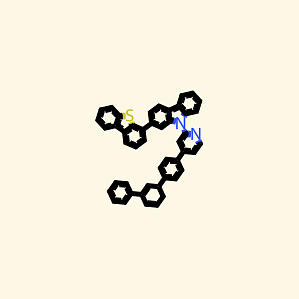 C1=CC(c2ccccc2)=CC(c2ccc(-c3ccnc(-n4c5ccccc5c5ccc(-c6cccc7c6sc6ccccc67)cc54)c3)cc2)C1